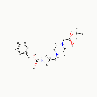 CC(C)(C)OC(=O)CN1CCN(CC2CN(C(=O)OCc3ccccc3)C2)CC1